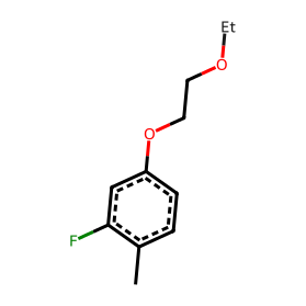 CCOCCOc1ccc(C)c(F)c1